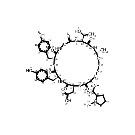 CC(O)[C@@H]1NC(=O)CNC(=O)[C@H](Cc2ccc(O)cc2)NC(=O)[C@H](Cc2ccc(O)cc2)NC(=O)[C@H](CC(=O)O)NC(=O)[C@@H](N[C@@H](O)C2CCCN2C)CSSC[C@@H](C)NC1=O